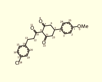 COc1ccc(C2CC(=O)C(C(=O)CCc3ccc(Cl)cc3)C(=O)C2)cc1